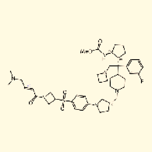 COC(=O)N[C@H]1CCC[C@@H]1C(CN1CCC1)(c1cccc(F)c1)C1CCN(C[C@@H]2CCN(c3ccc(S(=O)(=O)C4CN(C(=O)/C=C/CN(C)C)C4)cc3)C2)CC1